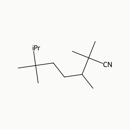 CC(CCC(C)(C)C(C)C)C(C)(C)C#N